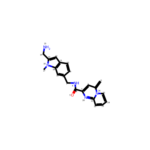 C=C1C=C(C(=O)NCc2ccc3cc(CN)n(C)c3c2)N=C2C=CC=CN12